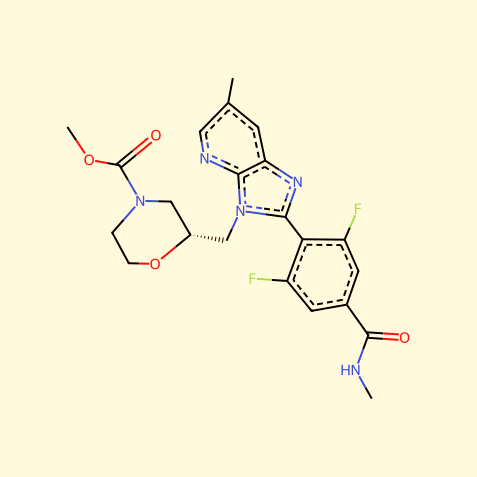 CNC(=O)c1cc(F)c(-c2nc3cc(C)cnc3n2C[C@H]2CN(C(=O)OC)CCO2)c(F)c1